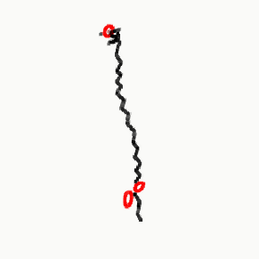 CC=CC(=O)OCCCCCCCCCCCCCCCCCCCC[Si](C)(C)OC